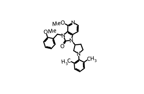 COc1ccccc1Cn1c(=O)n(C2CCN(c3c(C)cccc3C)C2)c2ccnc(OC)c21